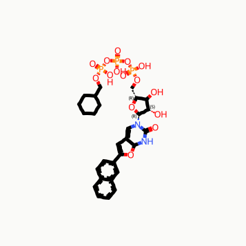 O=C1NC2OC(c3ccc4ccccc4c3)=CC2=CN1[C@@H]1O[C@H](COP(=O)(O)OP(=O)(O)OP(=O)(O)OCC2CCCCC2)C(O)[C@@H]1O